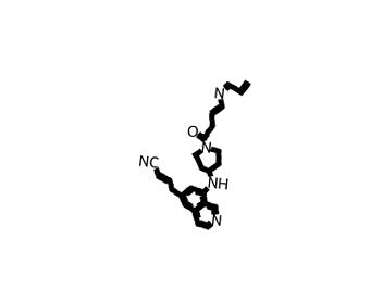 C=C/C=N\C=C\CC(=O)N1CCC(Nc2cc(C/C=C/C#N)cc3ccncc23)CC1